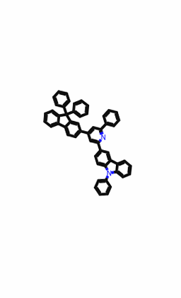 c1ccc(-c2cc(-c3ccc4c(c3)C(c3ccccc3)(c3ccccc3)c3ccccc3-4)cc(-c3ccc4c(c3)c3ccccc3n4-c3ccccc3)n2)cc1